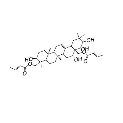 C/C=C/C(=O)OC[C@@]12C(CC(C)(C)[C@@H](O)[C@@H]1O)C1=CCC3[C@@]4(C)CC[C@H](O)[C@](C)(COC(=O)/C=C/C)C4CC[C@@]3(C)[C@]1(C)C[C@H]2O